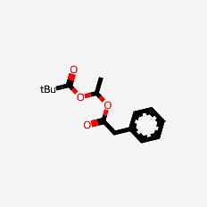 CC(OC(=O)Cc1cc[c]cc1)OC(=O)C(C)(C)C